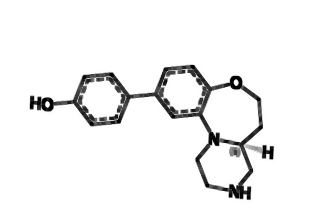 Oc1ccc(-c2ccc3c(c2)N2CCNC[C@@H]2CCO3)cc1